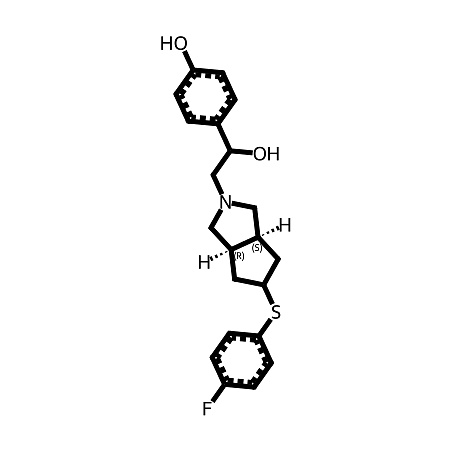 Oc1ccc(C(O)CN2C[C@H]3CC(Sc4ccc(F)cc4)C[C@H]3C2)cc1